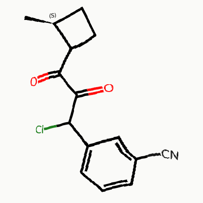 C[C@H]1CCC1C(=O)C(=O)C(Cl)c1cccc(C#N)c1